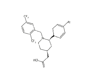 C=C(O)C[C@H]1CCN(Cc2cc(C(F)(F)F)ccc2C(F)(F)F)[C@@H](C2C=CC(C(C)C)=CC2)C1